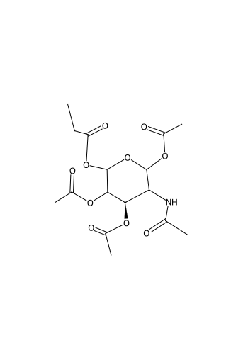 CCC(=O)OC1OC(OC(C)=O)C(NC(C)=O)[C@@H](OC(C)=O)C1OC(C)=O